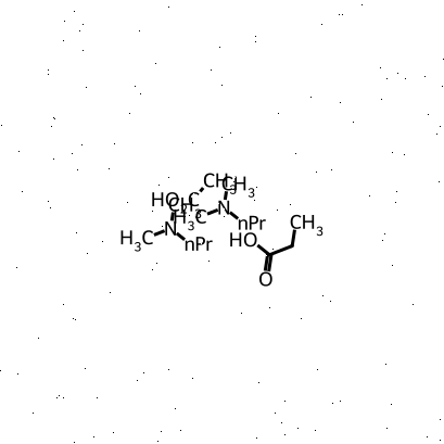 CC(=O)O.CCC(=O)O.CCCN(C)C.CCCN(C)C